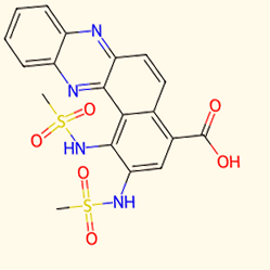 CS(=O)(=O)Nc1cc(C(=O)O)c2ccc3nc4ccccc4nc3c2c1NS(C)(=O)=O